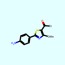 CCC(=O)c1sc(-c2ccc(N)cc2)nc1OC